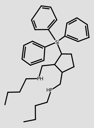 CCCCPCC1CCC([Si](c2ccccc2)(c2ccccc2)c2ccccc2)C1CPCCCC